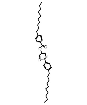 CCCCCCCCCCc1ccc(C(=O)Oc2cnc(-c3ccc(CCCCCCCCCC)cc3)nc2)cc1